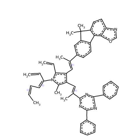 C=C/C(=C\C=C/C)n1c(C)c(/C=C(\C)c2nc(-c3ccccc3)nc(-c3ccccc3)n2)c(/C=C(\C)c2ccc3c(c2)C(C)(C)c2ccc4ncoc4c2-3)c1C=C